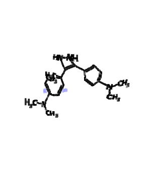 C=C(/C=C\C(=C/C)N(C)C)c1[nH][nH]c1-c1ccc(N(C)C)cc1